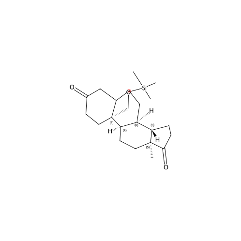 C[C@]12CC[C@@H]3[C@@H](CCC4CC(=O)CC[C@@]43CO[Si](C)(C)C)[C@@H]1CCC2=O